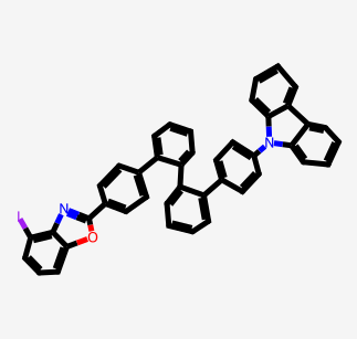 Ic1cccc2oc(-c3ccc(-c4ccccc4-c4ccccc4-c4ccc(-n5c6ccccc6c6ccccc65)cc4)cc3)nc12